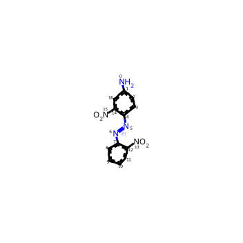 Nc1ccc(/N=N/c2ccccc2[N+](=O)[O-])c([N+](=O)[O-])c1